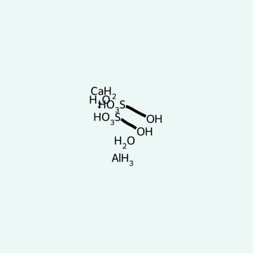 O.O.O=S(=O)(O)O.O=S(=O)(O)O.[AlH3].[CaH2]